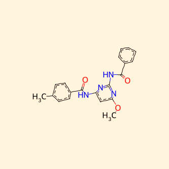 COc1cc(NC(=O)c2ccc(C)cc2)nc(NC(=O)c2ccccc2)n1